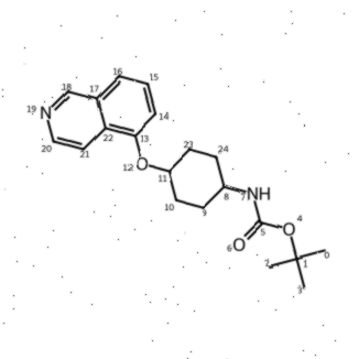 CC(C)(C)OC(=O)NC1CCC(Oc2cccc3cnccc23)CC1